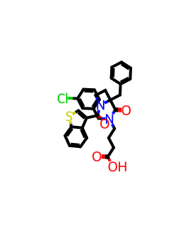 O=C(O)CCCN(Cc1cccc(Cl)c1)C(=O)C1(Cc2ccccc2)CCN1C(=O)c1csc2ccccc12